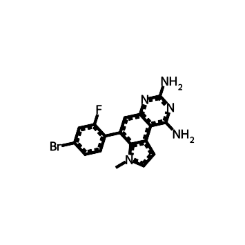 Cn1ccc2c3c(N)nc(N)nc3cc(-c3ccc(Br)cc3F)c21